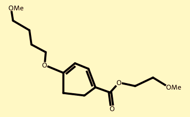 COCCCCOC1=CC=C(C(=O)OCCOC)CC1